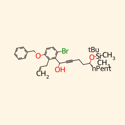 C=CCc1c(OCc2ccccc2)ccc(Br)c1C(O)C#CCC[C@H](CCCCC)O[Si](C)(C)C(C)(C)C